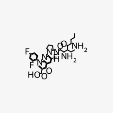 CCC[C@H](N)C(=O)C(CC)[C@H](N)C(=O)NC1CCCN1c1nc2c(cc1F)c(=O)c(C(=O)O)cn2-c1ccc(F)cc1F